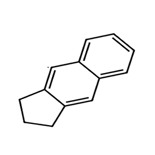 [c]1c2c(cc3ccccc13)CCC2